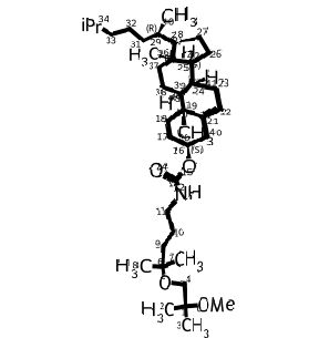 COC(C)(C)COC(C)(C)CCCNC(=O)O[C@H]1CC[C@@]2(C)C(=CC[C@H]3[C@@H]4CC[C@H]([C@H](C)CCCC(C)C)[C@@]4(C)CC[C@@H]32)C1